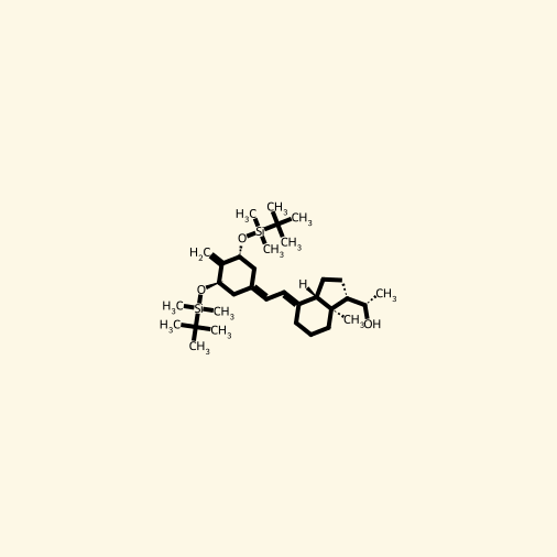 C=C1[C@H](O[Si](C)(C)C(C)(C)C)CC(=C/C=C2\CCC[C@]3(C)[C@@H]([C@H](C)O)CC[C@@H]23)C[C@H]1O[Si](C)(C)C(C)(C)C